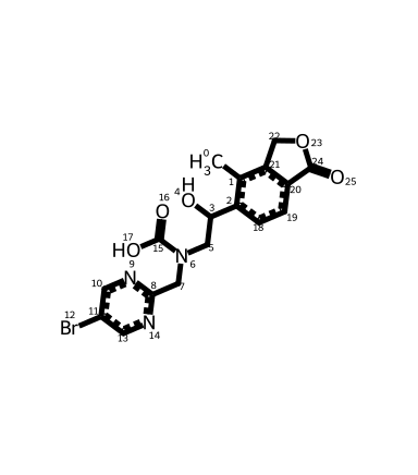 Cc1c(C(O)CN(Cc2ncc(Br)cn2)C(=O)O)ccc2c1COC2=O